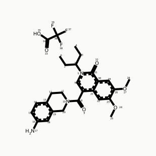 CCC(CC)n1cc(C(=O)N2CCc3ccc(N)cc3C2)c2cc(OC)c(OC)cc2c1=O.O=C(O)C(F)(F)F